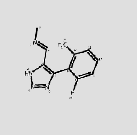 C/N=C/c1[nH]nnc1-c1c(F)cccc1C(F)(F)F